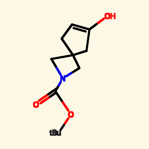 CC(C)(C)OC(=O)N1CC2(CC=C(O)C2)C1